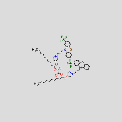 CCCCCCCCCC(OC(=O)C(=O)OC(CCCCCCCCC)OC1CCN(CCCN2c3ccccc3Sc3ccc(C(F)(F)F)cc32)C1)OC1CCN(CCCN2c3ccccc3Sc3ccc(C(F)(F)F)cc32)C1